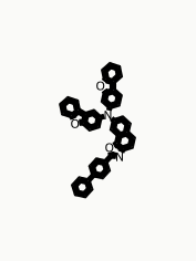 c1ccc(-c2ccc(-c3nc4ccc5ccc(N(c6ccc7c(c6)oc6ccccc67)c6ccc7oc8ccccc8c7c6)cc5c4o3)cc2)cc1